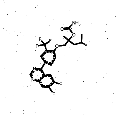 CC(C)CC(C)(COc1ccc(-c2ncnc3cc(F)c(F)cc23)cc1C(F)(F)F)OC(N)=O